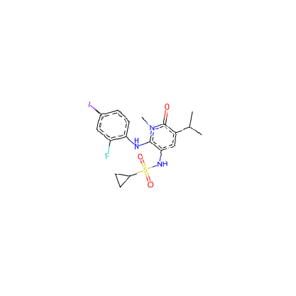 CC(C)c1cc(NS(=O)(=O)C2CC2)c(Nc2ccc(I)cc2F)n(C)c1=O